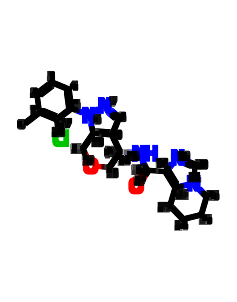 Cc1cccc(-n2ncc3c2COC[C@H]3NC(=O)c2ncn3c2CCCC3)c1Cl